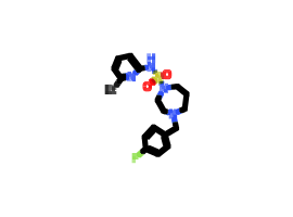 CCc1cccc(NS(=O)(=O)N2CCCN(Cc3ccc(F)cc3)CC2)n1